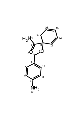 NC(=O)C1(OCc2ccc(N)cc2)C=CC=CC1